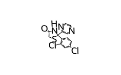 O=C1CSC(c2cnccn2)(c2ccc(Cl)cc2Cl)N1